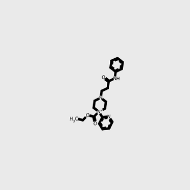 CCOC(=O)[N+]1(c2ccccn2)CCN(CCC(=O)Nc2ccccc2)CC1